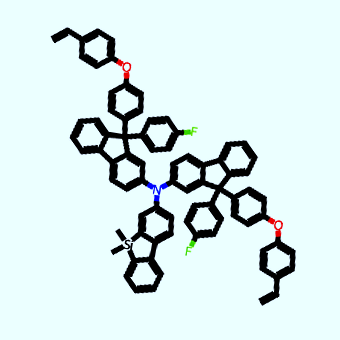 C=Cc1ccc(Oc2ccc(C3(c4ccc(F)cc4)c4ccccc4-c4ccc(N(c5ccc6c(c5)C(c5ccc(F)cc5)(c5ccc(Oc7ccc(C=C)cc7)cc5)c5ccccc5-6)c5ccc6c(c5)[Si](C)(C)c5ccccc5-6)cc43)cc2)cc1